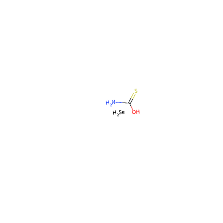 NC(O)=S.[SeH2]